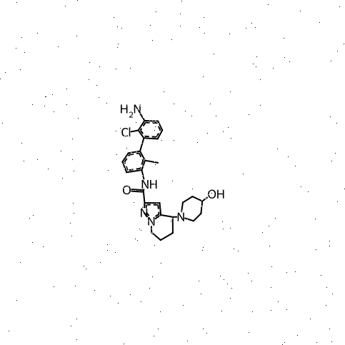 Cc1c(NC(=O)c2cc3n(n2)CCCC3N2CCC(O)CC2)cccc1-c1cccc(N)c1Cl